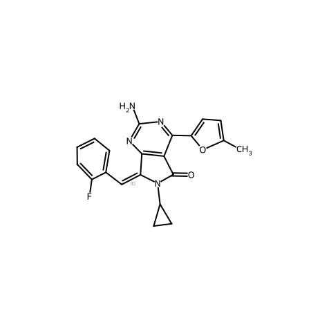 Cc1ccc(-c2nc(N)nc3c2C(=O)N(C2CC2)/C3=C/c2ccccc2F)o1